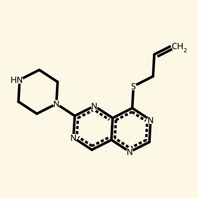 C=CCSc1ncnc2cnc(N3CCNCC3)nc12